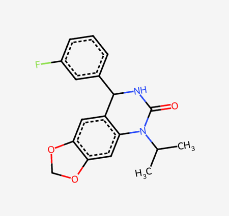 CC(C)N1C(=O)NC(c2cccc(F)c2)c2cc3c(cc21)OCO3